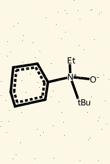 CC[N+]([O-])(c1ccccc1)C(C)(C)C